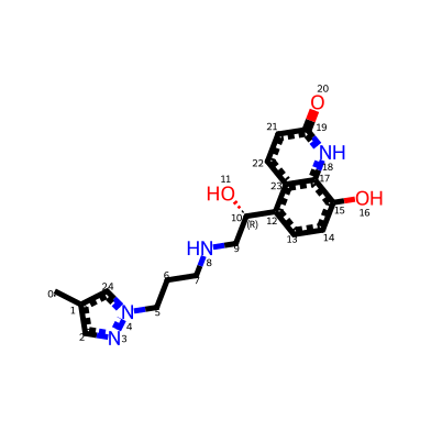 [CH2]c1cnn(CCCNC[C@H](O)c2ccc(O)c3[nH]c(=O)ccc23)c1